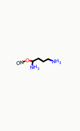 NCCCC(N)ON=O